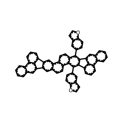 c1ccc2c(c1)cc1c3c(cccc32)-c2cc3c(ccc4c3ccc3c(-c5ccc6occc6c5)c5c(c(-c6ccc7occc7c6)c34)-c3cccc4c3c-5cc3ccccc34)cc2-1